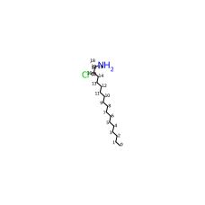 CCCCCCCCCCCCCCC[C@H](Cl)[C@H](C)N